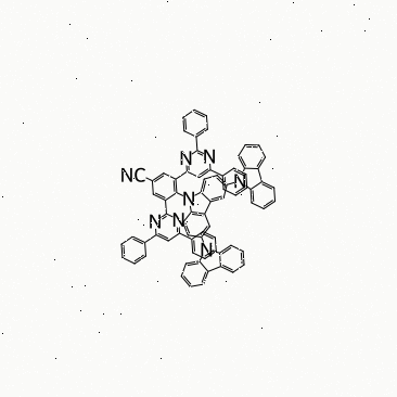 N#Cc1cc(-c2cc(-c3ccccc3)nc(-c3ccccc3)n2)c(-n2c3ccc(-n4c5ccccc5c5ccccc54)cc3c3cc(-n4c5ccccc5c5ccccc54)ccc32)c(-c2nc(-c3ccccc3)cc(-c3ccccc3)n2)c1